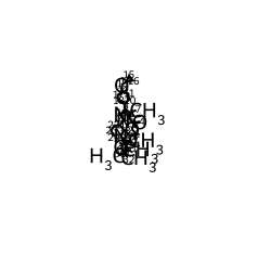 CCOC(=O)c1c(C)c(-c2ccc(OC3CC3)cc2)nn1C1CCCN(C(=O)OC(C)(C)C)C1